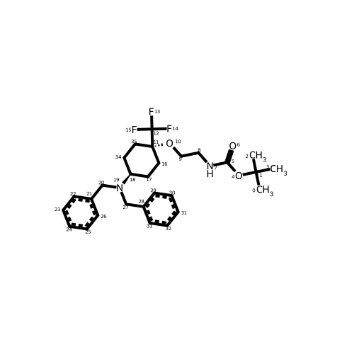 CC(C)(C)OC(=O)NCCO[C@]1(C(F)(F)F)CC[C@@H](N(Cc2ccccc2)Cc2ccccc2)CC1